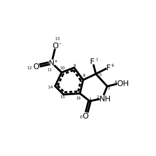 O=C1NC(O)C(F)(F)c2cc([N+](=O)[O-])ccc21